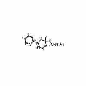 CC1(CN=[N+]=[N-])C=CN=C(c2ccccn2)C1